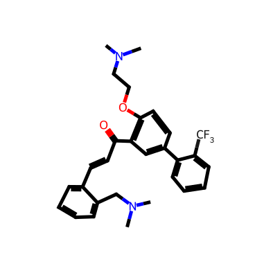 CN(C)CCOc1ccc(-c2ccccc2C(F)(F)F)cc1C(=O)C=Cc1ccccc1CN(C)C